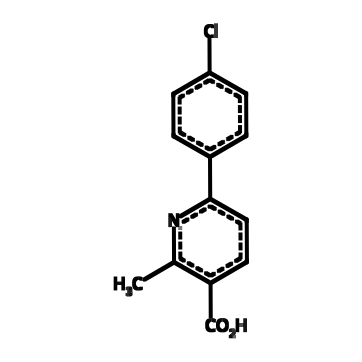 Cc1nc(-c2ccc(Cl)cc2)ccc1C(=O)O